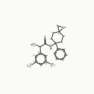 CC(C(=O)NC1(c2ccccc2)CCC2(CC1)CO2)c1cc(C(F)(F)F)cc(C(F)(F)F)c1